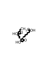 CCCCC(O)(CCl)CC=C[C@H]1[C@H](O)CC(=O)[C@@H]1CCCCCCC(=O)O